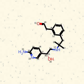 CC(C)(Cc1cccc(CC=O)c1)NC[C@H](O)c1ccc(N)nc1